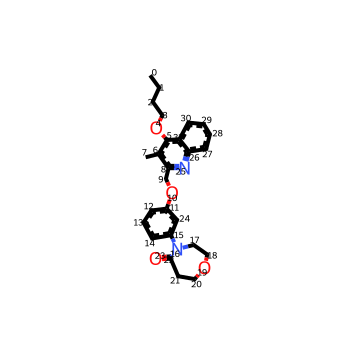 CCCCOc1c(C)c(COc2cccc(N3CCOCCC3=O)c2)nc2ccccc12